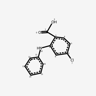 O=C(O)c1ccc(Cl)cc1Nc1ccccc1